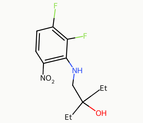 CCC(O)(CC)CNc1c([N+](=O)[O-])ccc(F)c1F